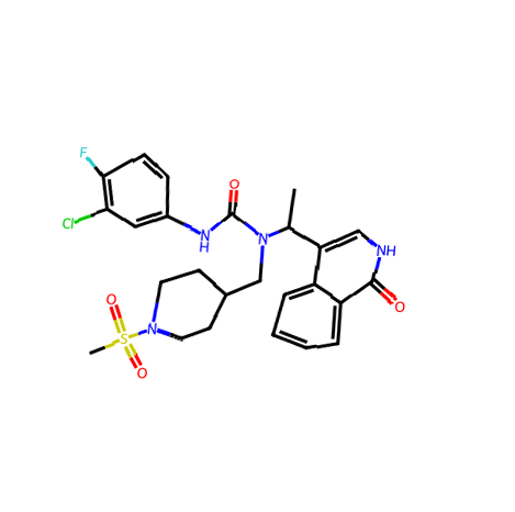 CC(c1c[nH]c(=O)c2ccccc12)N(CC1CCN(S(C)(=O)=O)CC1)C(=O)Nc1ccc(F)c(Cl)c1